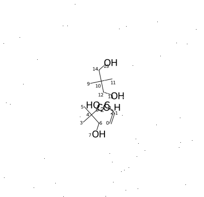 C=CC(=O)O.CC(C)(CO)C(=O)O.CC(C)(CO)CO